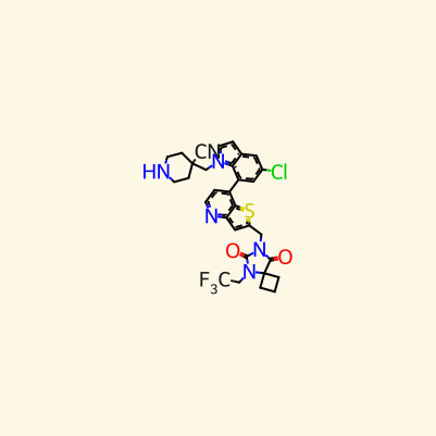 N#CC1(Cn2ccc3cc(Cl)cc(-c4ccnc5cc(CN6C(=O)N(CC(F)(F)F)C7(CCC7)C6=O)sc45)c32)CCNCC1